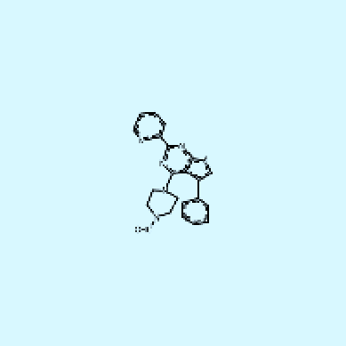 O=CN1CCN(c2nc(-c3ccccn3)nc3scc(-c4ccccc4)c23)CC1